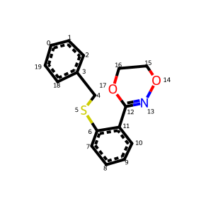 c1ccc(CSc2ccccc2C2=NOCCO2)cc1